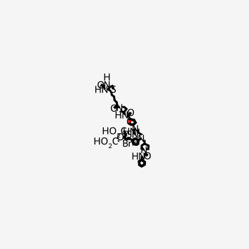 O=C(O)COc1c(C(=O)O)sc(-c2cccc(N(CC3=CN(c4ccc(C(=O)NC5CCN(C(=O)CCCCC6SCC7NC(=O)NC76)C5)cc4)NN3)CC3CCN(C(=O)Nc4ccccc4)CC3)c2)c1Br